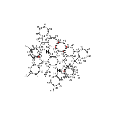 Cc1ccc2c(c1)c1cc(C)ccc1n2-c1c(C#N)c(-n2c3ccc(C)cc3c3cc(C)ccc32)c(N2c3ccccc3C(C)(c3ccccc3)c3ccccc32)c(-c2ccccc2)c1N1c2ccccc2C(C)(c2ccccc2)c2ccccc21